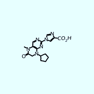 CN1C(=O)CN(C2CCCC2)c2nc(-n3cnc(C(=O)O)c3)ncc21